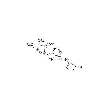 CC(=O)OC[C@H]1O[C@@H](n2cnc3c(NNc4cccc(O)c4)ncnc32)[C@H](OC(C)=O)[C@H]1OC(C)=O